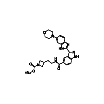 CC(C)(C)OC(=O)N1CC(CCNC(=O)c2ccc3[nH]nc(-c4nc5ccc(N6CCOCC6)cc5[nH]4)c3c2)C1